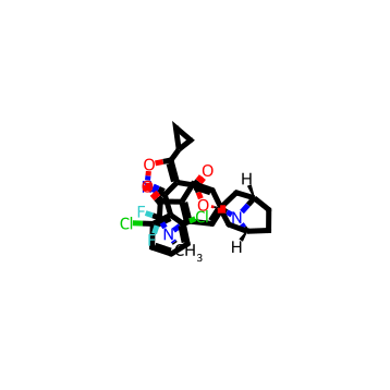 CN1c2cc(N3[C@@H]4CC[C@H]3C[C@@H](OC(=O)c3c(-c5c(Cl)cccc5Cl)noc3C3CC3)C4)ccc2C(=O)C1(F)F